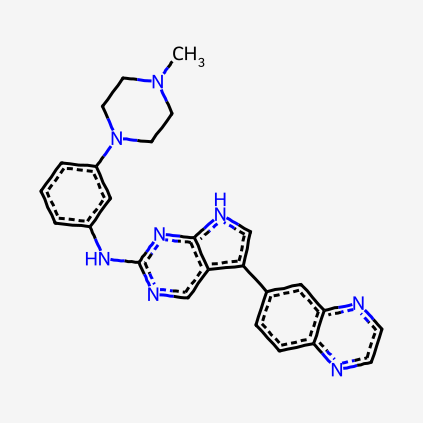 CN1CCN(c2cccc(Nc3ncc4c(-c5ccc6nccnc6c5)c[nH]c4n3)c2)CC1